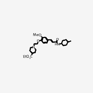 CCOC(=O)C1CCN(CCOc2ccc(C=CC(=O)NC3CCC(C)CC3)cc2OC)CC1